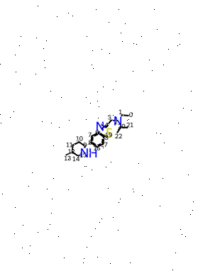 CCN(Cc1nc2cc([C@H]3CC[C@H](C)CN3)ccc2s1)C(C)C